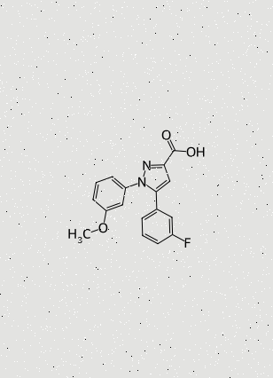 COc1cccc(-n2nc(C(=O)O)cc2-c2cccc(F)c2)c1